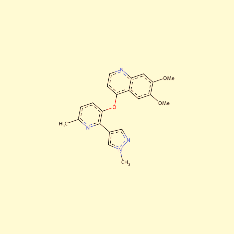 COc1cc2nccc(Oc3ccc(C)nc3-c3cnn(C)c3)c2cc1OC